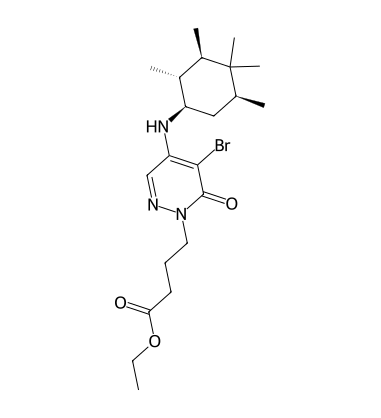 CCOC(=O)CCCn1ncc(N[C@@H]2C[C@H](C)C(C)(C)[C@H](C)[C@H]2C)c(Br)c1=O